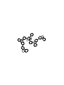 c1ccc(-c2cc(-c3cccc(-n4c5ccccc5c5cc(-c6ccc7oc8ccccc8c7c6)ccc54)c3)nc(-c3cccc(-n4c5ccccc5c5cc(-c6ccc7oc8ccccc8c7c6)ccc54)c3)n2)cc1